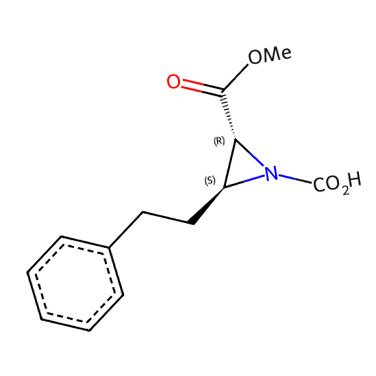 COC(=O)[C@H]1[C@H](CCc2ccccc2)N1C(=O)O